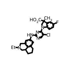 CCN1Cc2cc(Nc3ncc(Cl)c(N4CC(C)(C(=O)O)c5cc(F)ccc54)n3)cc3c2C(CCC3)C1